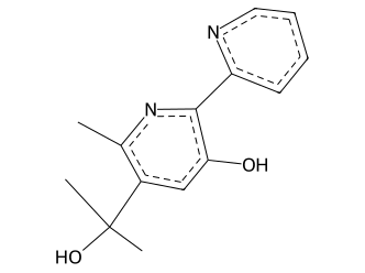 Cc1nc(-c2ccccn2)c(O)cc1C(C)(C)O